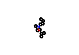 c1ccc(-c2ccccc2N(c2ccc(-c3cc4ccccc4c4ccccc34)cc2)c2ccc3c(ccc4ccc5ccccc5c43)c2)cc1